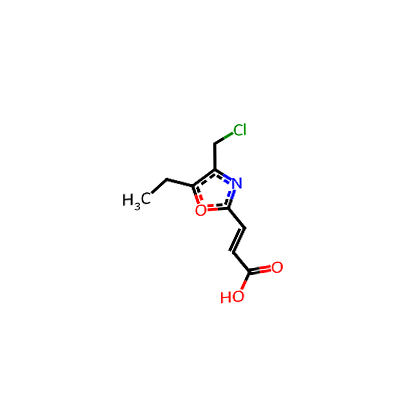 CCc1oc(C=CC(=O)O)nc1CCl